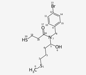 CSCCCC(O)N(Cc1ccc(Br)cc1)C(=O)CCS